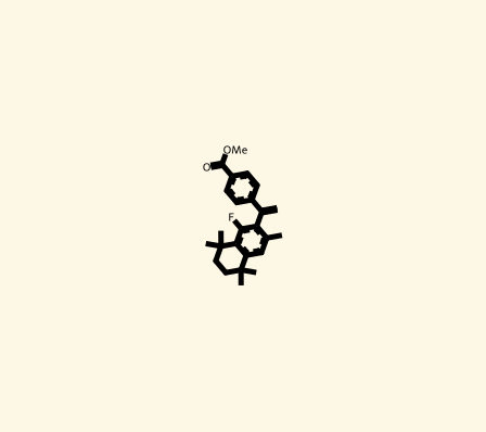 C=C(c1ccc(C(=O)OC)cc1)c1c(C)cc2c(c1F)C(C)(C)CCC2(C)C